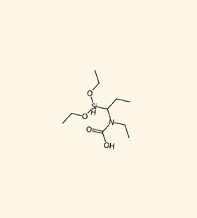 CCO[SiH](OCC)C(CC)N(CC)C(=O)O